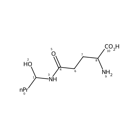 CCCC(O)NC(=O)CCC(N)C(=O)O